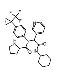 O=C(NC1CCCCC1)C(c1cccnc1)N(C(=O)C1CCCN1)c1ccc(C2(C(F)(F)F)CC2)cc1